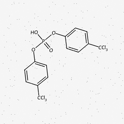 O=P(O)(Oc1ccc(C(Cl)(Cl)Cl)cc1)Oc1ccc(C(Cl)(Cl)Cl)cc1